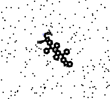 C#Cc1c(/C=C\C)sc2ccc(N(c3ccccc3)c3cc4c5ccccc5c(N(c5ccccc5)c5ccc6sc7ccccc7c6c5)cc4c4ccccc34)cc12